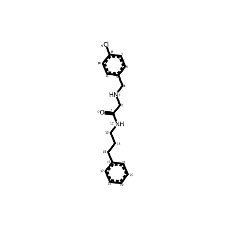 O=C(CNCc1ccc(Cl)cc1)NCCCc1ccccc1